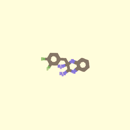 NC1N=c2ccccc2=NC1(N)Cc1ccc(F)c(F)c1